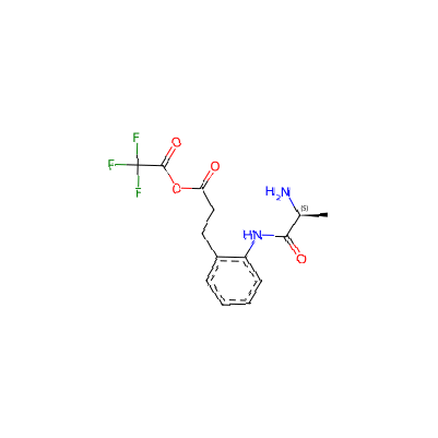 C[C@H](N)C(=O)Nc1ccccc1CCC(=O)OC(=O)C(F)(F)F